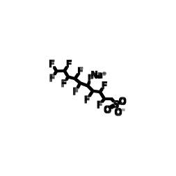 O=S(=O)([O-])CC(F)C(F)C(F)C(F)C(F)C(F)C(F)C(F)C(F)F.[Na+]